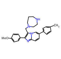 COc1ccc(-c2nc3ccc(-c4ccc(C)cc4)cn3c2CN2CCCNCC2)cc1